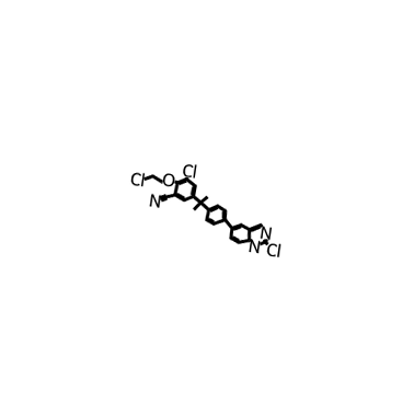 CC(C)(c1ccc(-c2ccc3nc(Cl)ncc3c2)cc1)c1cc(Cl)c(OCCCl)c(C#N)c1